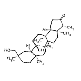 C[C@H]1C(=O)CC[C@@H]2[C@]1(C)CC[C@H]1[C@@]2(C)CC[C@@]2(C)[C@@H]3C[C@](C)(CO)CC[C@]3(C)CC[C@]12C